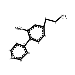 COc1cc(CCN)ccc1-c1ccncc1